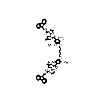 C=C1C[C@@H](C2OCCN2C(=O)OCC2c3ccccc3-c3ccccc32)N(C(=O)c2cc(OC)c(OCCCCCOc3cc(N)c(C(=O)N4CC(=C)C[C@H]4C4OCCN4C(=O)OCC4c5ccccc5-c5ccccc54)cc3OC)cc2N)C1